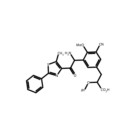 COc1c(C#N)cc(CC(OC(C)C)C(=O)O)cc1C(N)C(=O)c1nc(-c2ccccc2)sc1C